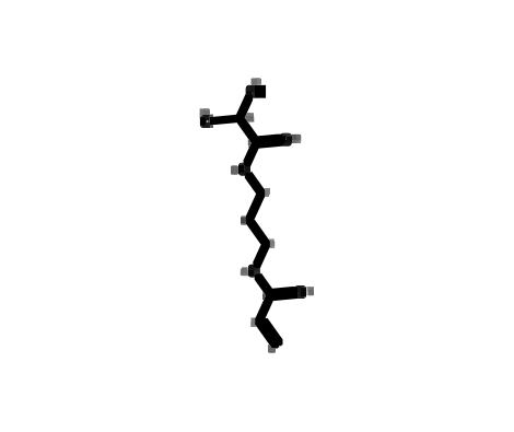 C=CC(=O)OCCCOC(=O)C(O)Cl